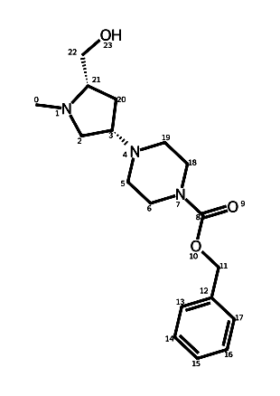 CN1C[C@@H](N2CCN(C(=O)OCc3ccccc3)CC2)C[C@H]1CO